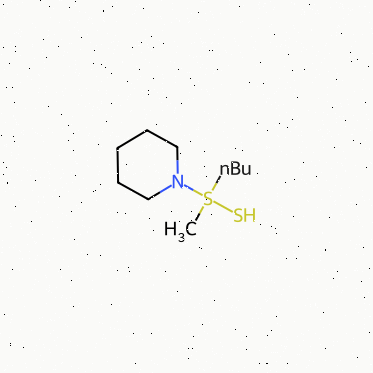 CCCCS(C)(S)N1CCCCC1